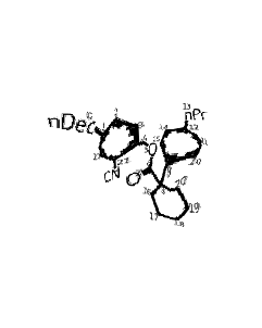 CCCCCCCCCCc1ccc(OC(=O)C2(c3ccc(CCC)cc3)CCCCC2)c(C#N)c1